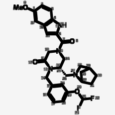 COc1ccc2[nH]c(C(=O)N3CC(=O)N(Cc4cccc(OC(F)F)c4)[C@@H](CN4CC5CCC4C5)C3)cc2c1